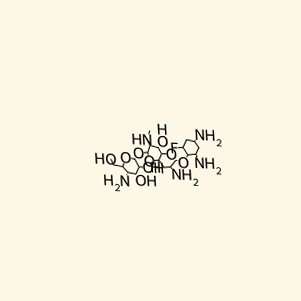 CNC1C(O[C@H]2OC(CO)[C@@H](N)C(O)C2O)O[C@H]2CC(N)[C@@H](O[C@@H]3C(N)C[C@@H](N)CC3F)OC2C1O